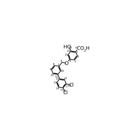 O=C(O)c1ccc(OCc2cccc(-c3ccc(Cl)c(Cl)c3)c2)cc1O